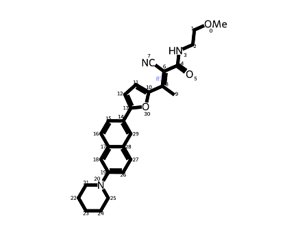 COCCNC(=O)/C(C#N)=C(\C)c1ccc(-c2ccc3cc(N4CCCCC4)ccc3c2)o1